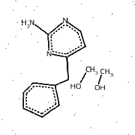 CO.CO.Nc1nccc(Cc2ccccc2)n1